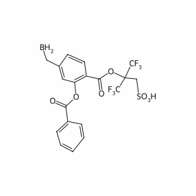 BCc1ccc(C(=O)OC(CS(=O)(=O)O)(C(F)(F)F)C(F)(F)F)c(OC(=O)c2ccccc2)c1